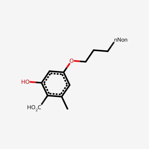 CCCCCCCCCCCCOc1cc(C)c(C(=O)O)c(O)c1